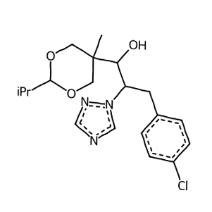 CC(C)C1OCC(C)(C(O)C(Cc2ccc(Cl)cc2)n2cncn2)CO1